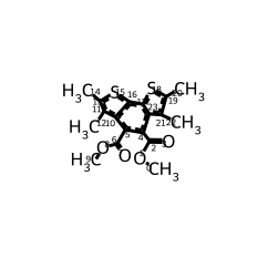 COC(=O)c1c(C(=O)OC)c2c(C)c(C)sc2c2sc(C)c(C)c12